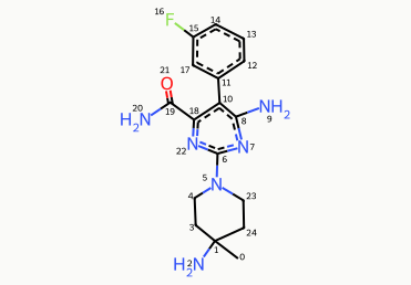 CC1(N)CCN(c2nc(N)c(-c3cccc(F)c3)c(C(N)=O)n2)CC1